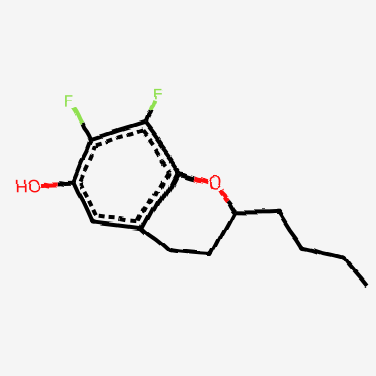 CCCCC1CCc2cc(O)c(F)c(F)c2O1